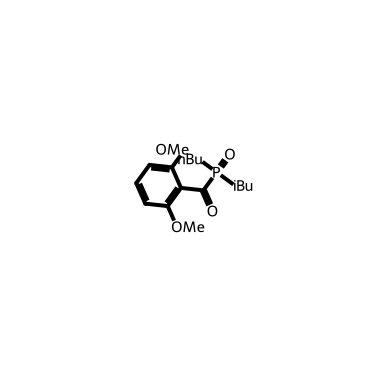 CCCCP(=O)(C(=O)c1c(OC)cccc1OC)C(C)CC